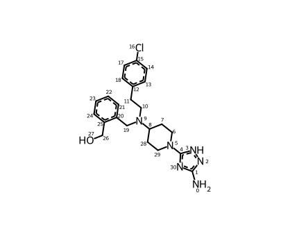 Nc1n[nH]c(N2CCC(N(CCc3ccc(Cl)cc3)Cc3ccccc3CO)CC2)n1